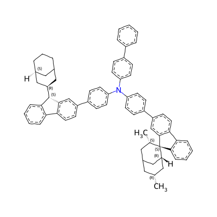 C[C@@H]1CC2C[C@@H](C1)[C@]1(c3ccccc3-c3ccc(-c4ccc(N(c5ccc(-c6ccccc6)cc5)c5ccc(-c6ccc7c(c6)[C@@H]([C@@H]6CC8CCC[C@@H](C8)C6)c6ccccc6-7)cc5)cc4)cc31)[C@@H](C)C2